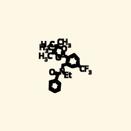 CCN(Cc1cc(C(F)(F)F)ccc1B1OC(C)(C)C(C)(C)O1)C(=O)c1ccccc1